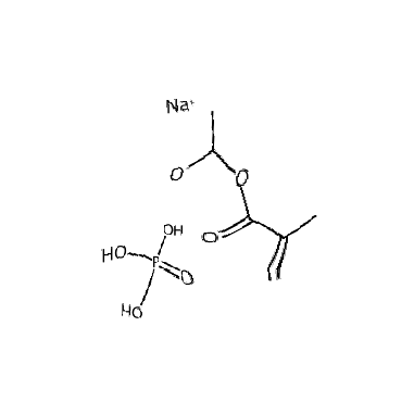 C=C(C)C(=O)OC(C)[O-].O=P(O)(O)O.[Na+]